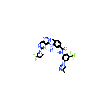 Cc1cn(C2C=C(C(F)(F)F)C=C(NC(=O)c3ccc(C)c(Nc4ncnc5cnc(N6CCC(F)(F)C6)nc45)c3)C2)cn1